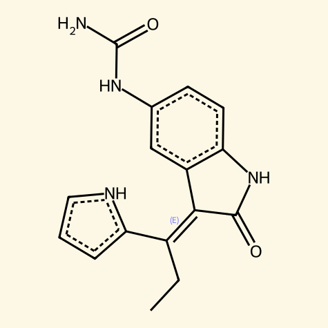 CC/C(=C1\C(=O)Nc2ccc(NC(N)=O)cc21)c1ccc[nH]1